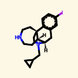 Ic1ccc2c(c1)C[C@@H]1[C@H]3CCNCC[C@@]23CCN1CC1CC1